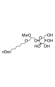 CCCCCCCCCCCCCCCCOCC(CO[C@H]1OC(CO)[C@H](O)C(O)[C@H]1O)OC